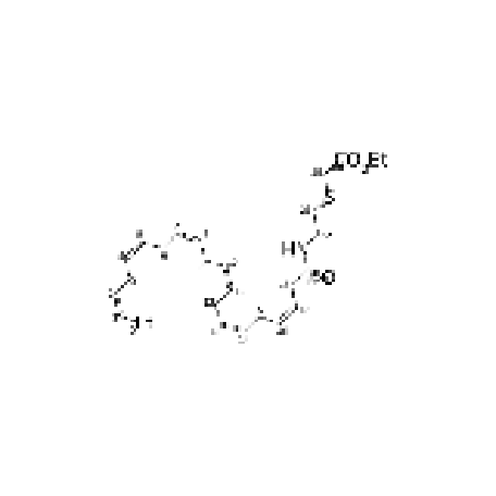 CC/C=C\C/C=C\C/C=C\C/C=C\C/C=C\C/C=C\CC(=O)NCCSCC(=O)OCC